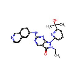 CCn1c(=O)c2cnc(Nc3ccc4cnccc4c3)nc2n1-c1cccc(C(C)(C)O)n1